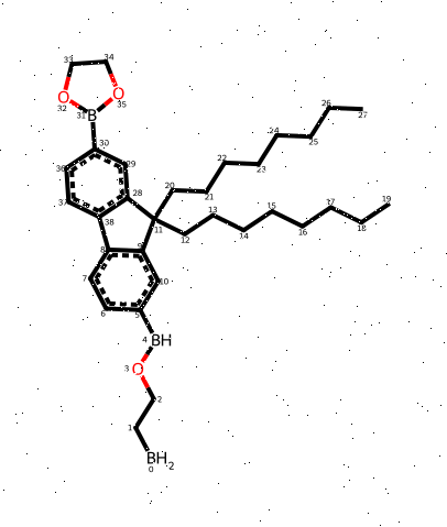 BCCOBc1ccc2c(c1)C(CCCCCCCC)(CCCCCCCC)c1cc(B3OCCO3)ccc1-2